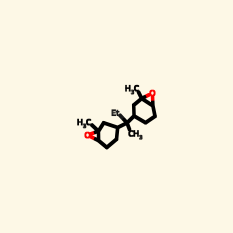 CCC(C)(C1CCC2OC2(C)C1)C1CCC2OC2(C)C1